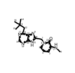 CNc1cccn(Cc2nc3c(CC(C)(C)C)ncnc3[nH]2)c1=O